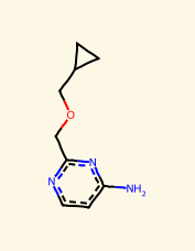 Nc1ccnc(COCC2CC2)n1